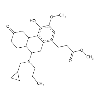 CCCN(CC1CC1)C1Cc2c(CCC(=O)OC)cc(OC)c(O)c2C2CC(=O)CCC21